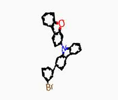 Brc1cccc(-c2ccc3c4ccccc4n(-c4ccc5c(c4)oc4ccccc45)c3c2)c1